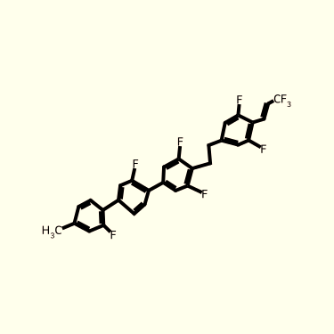 Cc1ccc(-c2ccc(-c3cc(F)c(CCc4cc(F)c(/C=C/C(F)(F)F)c(F)c4)c(F)c3)c(F)c2)c(F)c1